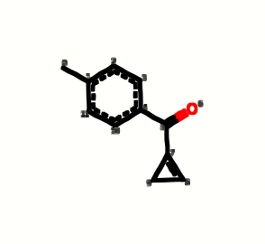 Cc1ccc(C(=O)C2=CC2)cc1